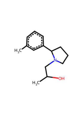 Cc1cccc(C2CCCN2CC(C)O)c1